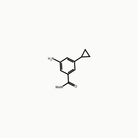 CNC(=O)c1cc(N)cc(C2CC2)c1